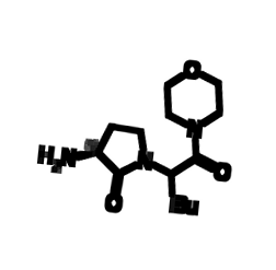 CCC(C)C(C(=O)N1CCOCC1)N1CC[C@H](N)C1=O